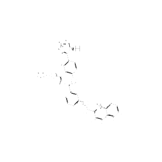 COC(=O)c1cc(-c2nnn[nH]2)ccc1OCc1cccc(OCc2ccc3ccccc3n2)c1